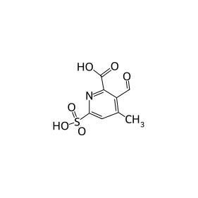 Cc1cc(S(=O)(=O)O)nc(C(=O)O)c1C=O